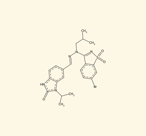 CC(C)CN(/N=C/c1ccc2[nH]c(=O)n(C(C)C)c2c1)C1=NS(=O)(=O)c2cc(Br)ccc21